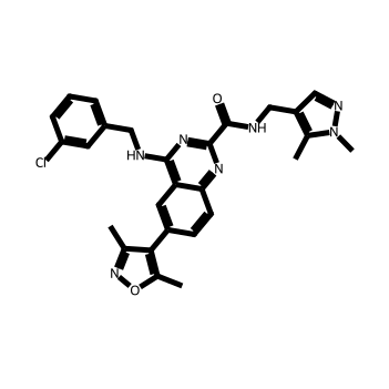 Cc1noc(C)c1-c1ccc2nc(C(=O)NCc3cnn(C)c3C)nc(NCc3cccc(Cl)c3)c2c1